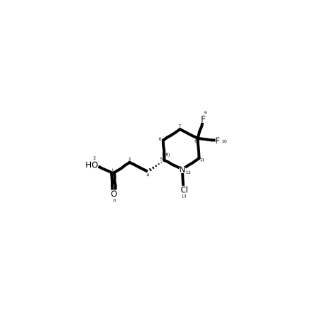 O=C(O)CC[C@@H]1CCC(F)(F)CN1Cl